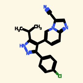 CC(C)c1[nH]nc(-c2ccc(Cl)cc2)c1-c1ccc2ncc(C#N)n2c1